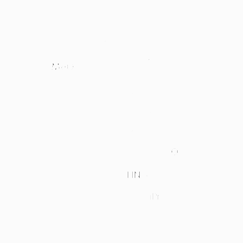 COc1ccc2cccc(CC(=O)NC(C)C)c2c1